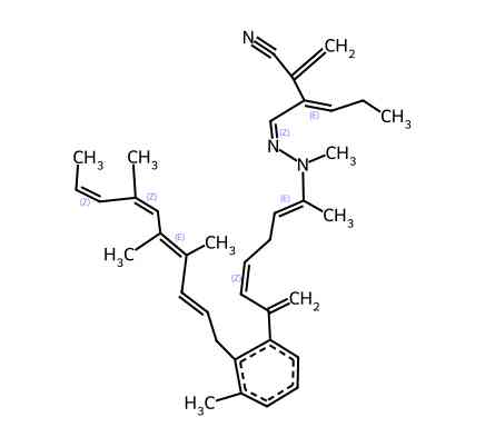 C=C(C#N)C(/C=N\N(C)/C(C)=C/C/C=C\C(=C)c1cccc(C)c1CC=C/C(C)=C(C)/C=C(C)\C=C/C)=C\CC